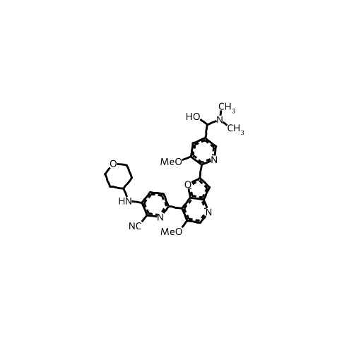 COc1cc(C(O)N(C)C)cnc1-c1cc2ncc(OC)c(-c3ccc(NC4CCOCC4)c(C#N)n3)c2o1